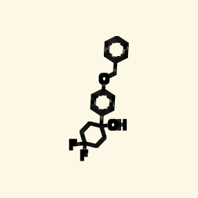 OC1(c2ccc(OCc3ccccc3)cc2)CCC(F)(F)CC1